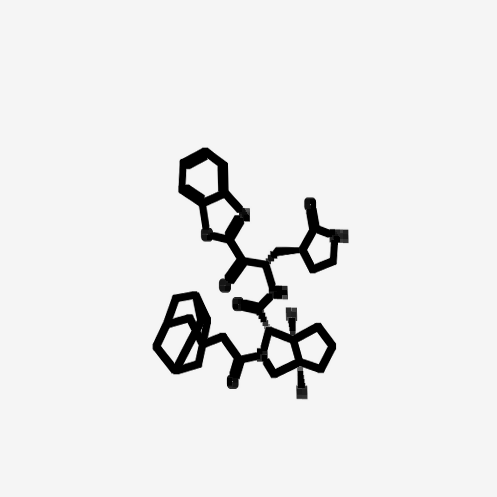 O=C1NCC[C@H]1C[C@H](NC(=O)[C@@H]1[C@H]2CCC[C@H]2CN1C(=O)CC12CC3CC(CC(C3)C1)C2)C(=O)c1nc2ccccc2o1